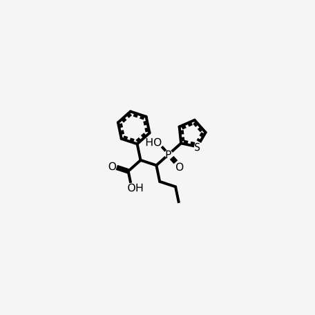 CCCC(C(C(=O)O)c1ccccc1)P(=O)(O)c1cccs1